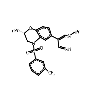 CCC[C@H]1CN(S(=O)(=O)c2cccc(C(F)(F)F)c2)c2cc(/C(C=N)=C/NC(C)C)ccc2O1